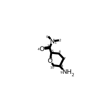 CN(C)C(=O)C1CCC(N)CO1